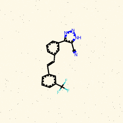 N#Cc1[nH]nnc1-c1cccc(/C=C/c2cccc(C(F)(F)F)c2)c1